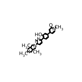 CN1C[C@@]2(C)CN(c3ccc(-c4ccc(-c5ccn(C)c(=O)c5)cc4O)nn3)C[C@@]2(C)C1